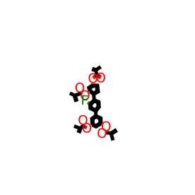 C=C(C)C(=O)Oc1cc(OC(=O)C(=C)C)cc(-c2ccc(-c3ccc(OC(=O)C(=C)C)cc3OC(=O)C(=C)C)c(F)c2)c1